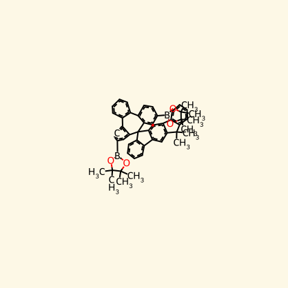 CC1(C)c2ccccc2-c2cc3c(cc21)-c1ccccc1C31c2cc(B3OC(C)(C)C(C)(C)O3)ccc2-c2ccccc2-c2ccc(B3OC(C)(C)C(C)(C)O3)cc21